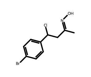 CC(CC(Cl)c1ccc(Br)cc1)=NO